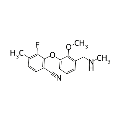 CNCc1cccc(Oc2c(C#N)ccc(C)c2F)c1OC